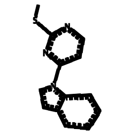 CSc1nccc(-n2ccc3ccccc32)n1